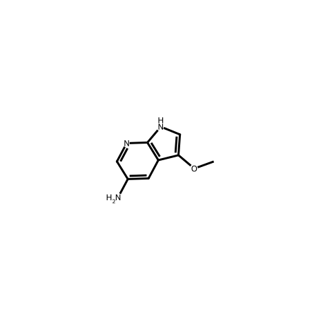 COc1c[nH]c2ncc(N)cc12